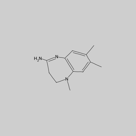 Cc1cc2c(cc1C)N(C)CCC(N)=N2